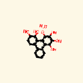 O.Oc1ccc2c3ccccc3c3c(O)c(O)c(O)c(O)c3c2c1O